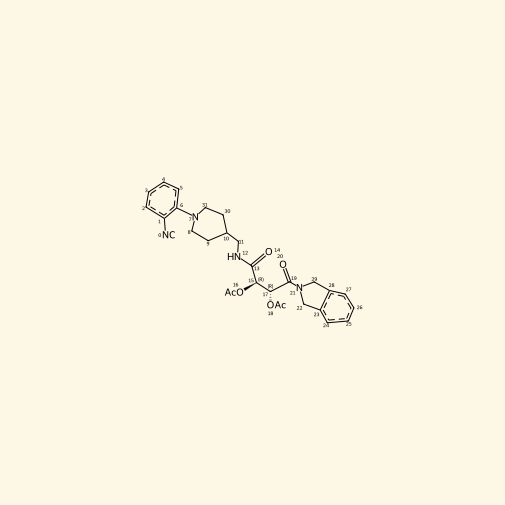 [C-]#[N+]c1ccccc1N1CCC(CNC(=O)[C@H](OC(C)=O)[C@@H](OC(C)=O)C(=O)N2Cc3ccccc3C2)CC1